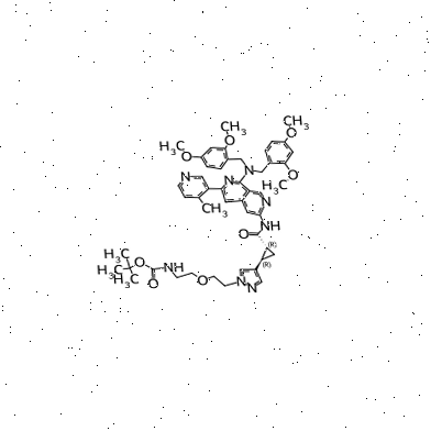 COc1ccc(CN(Cc2ccc(OC)cc2OC)c2nc(-c3cnccc3C)cc3cc(NC(=O)[C@@H]4C[C@H]4c4cnn(CCOCCNC(=O)OC(C)(C)C)c4)ncc23)c(OC)c1